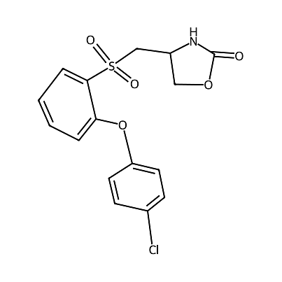 O=C1NC(CS(=O)(=O)c2ccccc2Oc2ccc(Cl)cc2)CO1